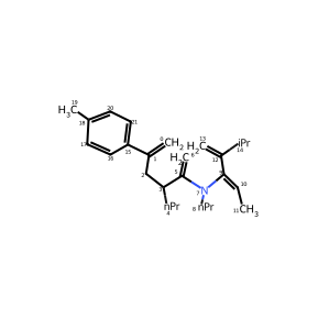 C=C(CC(CCC)C(=C)N(CCC)/C(=C\C)C(=C)C(C)C)c1ccc(C)cc1